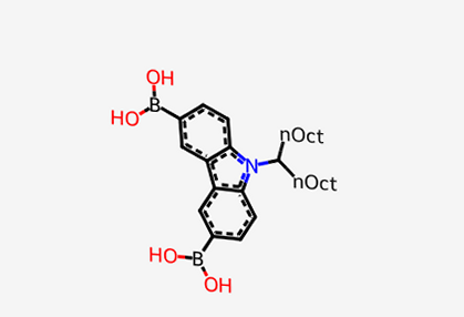 CCCCCCCCC(CCCCCCCC)n1c2ccc(B(O)O)cc2c2cc(B(O)O)ccc21